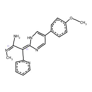 C/N=C(N)\C(=C1\N=CC(c2ccc(OC)cc2)=CN1)c1ccccn1